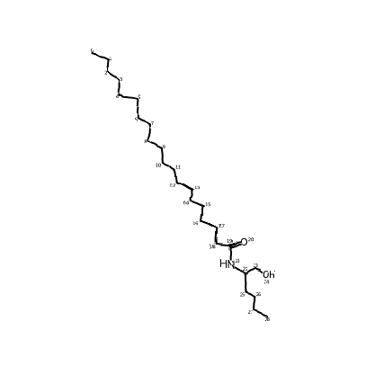 CCCCCCCCCCCCCCCCCCCC(=O)NC(CO)CCCC